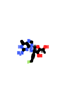 C=C1NC(N)=Nc2c1ncn2[C@@H]1OC([C@H](C)O)C(O)[C@]1(N)C#CCF